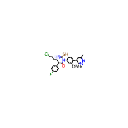 COc1cc(N(C(=N)S)C(=O)C(CCCCCl)c2ccc(F)cc2)ccc1-c1cnnc(C)c1